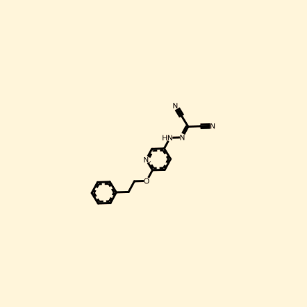 N#CC(C#N)=NNc1ccc(OCCc2ccccc2)nc1